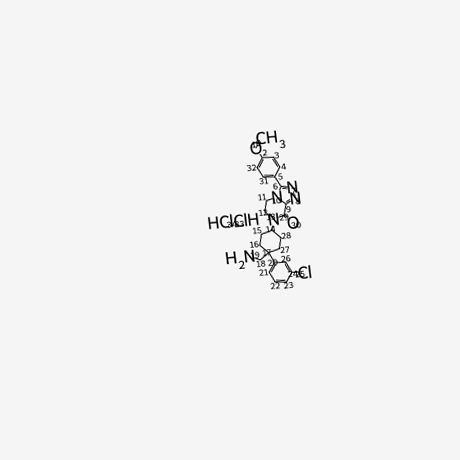 COc1ccc(-c2nnc3n2CCN(C2CCC(CN)(c4cccc(Cl)c4)CC2)C3=O)cc1.Cl.Cl